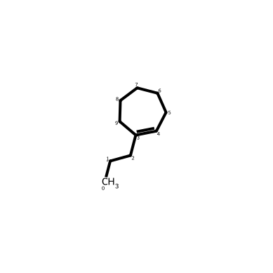 C[CH]CC1=CCCCCC1